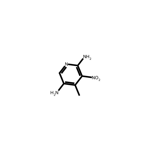 Cc1c(N)cnc(N)c1[N+](=O)[O-]